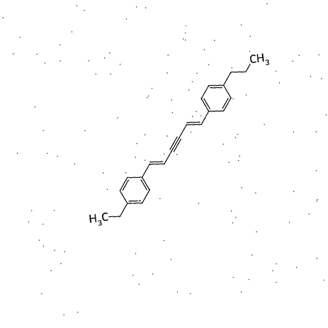 CCCc1ccc(/C=C/C#C/C=C/c2ccc(CC)cc2)cc1